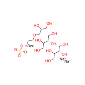 CCCCCCCCCCCCOCC(O)CO.O=S(=O)([O-])[O-].OC[C@@H](O)[C@@H](O)CO.OC[C@@H](O)[C@@H](O)CO.[Na+].[Na+]